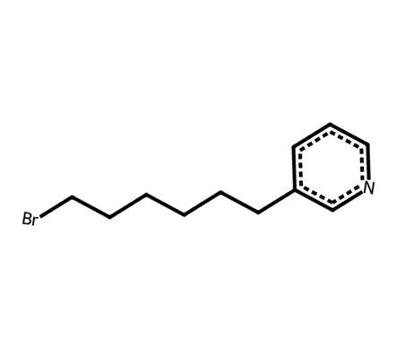 BrCCCCCCc1cccnc1